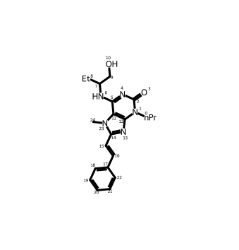 CCCn1c(=O)nc(NC(CC)CO)c2c1nc(/C=C/c1ccccc1)n2C